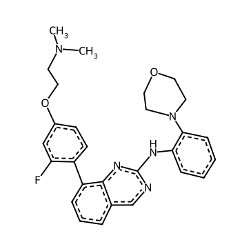 CN(C)CCOc1ccc(-c2cccc3cnc(Nc4ccccc4N4CCOCC4)nc23)c(F)c1